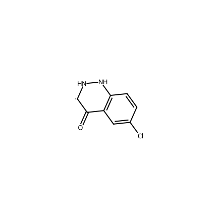 O=C1[CH]NNc2ccc(Cl)cc21